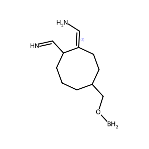 BOCC1CCCC(C=N)/C(=C\N)CC1